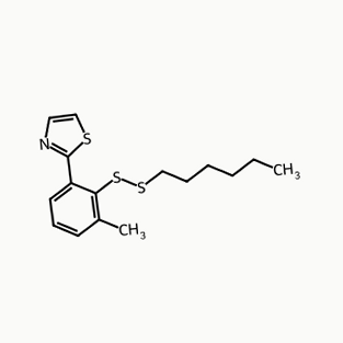 CCCCCCSSc1c(C)cccc1-c1nccs1